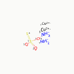 O=S([O-])([O-])=S.[Cu+2].[Cu+2].[NH2-].[NH2-]